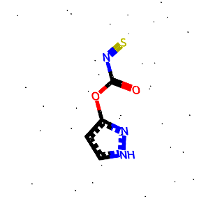 O=C(N=S)Oc1cc[nH]n1